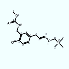 COC(=O)NCc1cc(CC=NOC[Si](C)(C)C)ccc1Cl